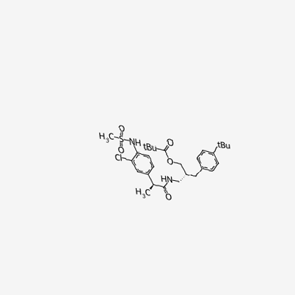 C[C@H](C(=O)NC[C@H](COC(=O)C(C)(C)C)Cc1ccc(C(C)(C)C)cc1)c1ccc(NS(C)(=O)=O)c(Cl)c1